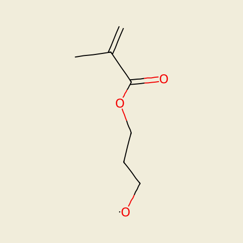 C=C(C)C(=O)OCCC[O]